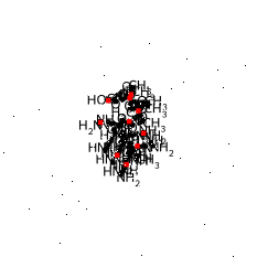 CC(=O)N[C@@H](CCCNC(=N)N)C(=O)N[C@@H](CCCNC(=N)N)C(=O)N[C@@H](CCCNC(=N)N)C(=O)N[C@@H](CCCNC(=N)N)C(=O)N[C@@H](CCCNC(=N)N)C(=O)N[C@@H](CCCNC(=N)N)C(=O)NCC(=O)N1C[C@@H](COP(=O)(N(C)C)N2C[C@@H](COP(=O)(N(C)C)N3CCN(C(=O)OCCO)CC3)O[C@@H](C)C2)O[C@@H](C)C1